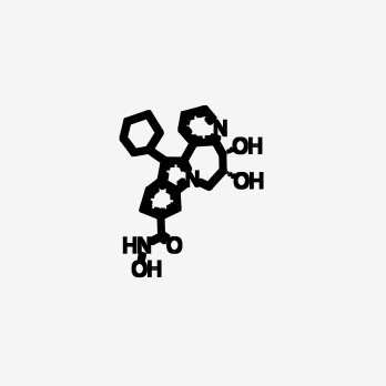 O=C(NO)c1ccc2c(C3CCCCC3)c3n(c2c1)C[C@@H](O)[C@@H](O)c1ncccc1-3